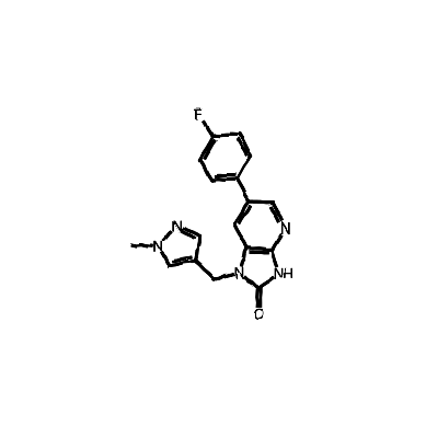 Cn1cc(Cn2c(=O)[nH]c3ncc(-c4ccc(F)cc4)cc32)cn1